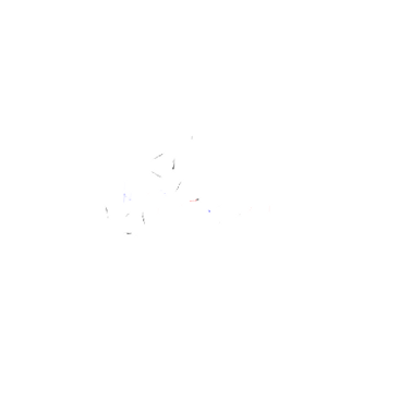 Cc1cccc2c1c(C(C)CC(=O)N1C3CC4CC1CC(O)(C4)C3)cn2S(=O)(=O)c1cccc2c1NCC=C2